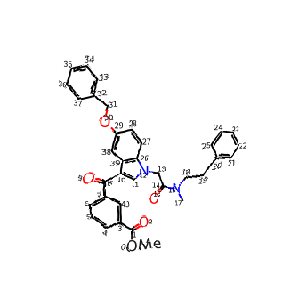 COC(=O)c1cccc(C(=O)c2cn(CC(=O)N(C)CCc3ccccc3)c3ccc(OCc4ccccc4)cc23)c1